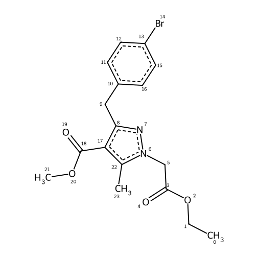 CCOC(=O)Cn1nc(Cc2ccc(Br)cc2)c(C(=O)OC)c1C